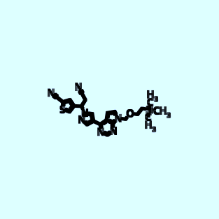 C[Si](C)(C)CCOCn1ccc2c(-c3cnn(C(CC#N)c4csc(C#N)c4)c3)ncnc21